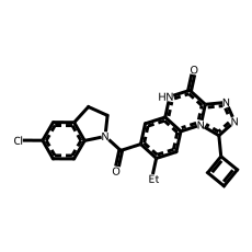 CCc1cc2c(cc1C(=O)N1CCc3cc(Cl)ccc31)[nH]c(=O)c1nnc(C3=CC=C3)n12